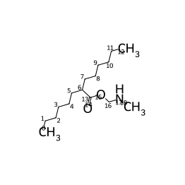 CCCCCCC(CCCCCC)C(=O)OCNC